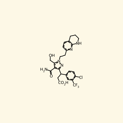 NC(=O)c1c(C(CC(=O)O)c2ccc(Cl)c(C(F)(F)F)c2)nn(CCc2ccc3c(n2)NCCC3)c1CO